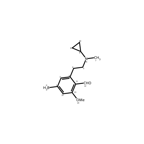 Bc1cc(CCN(C)C2CC2)c(C=O)c(OC)c1